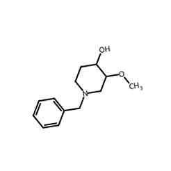 COC1CN(Cc2ccccc2)CCC1O